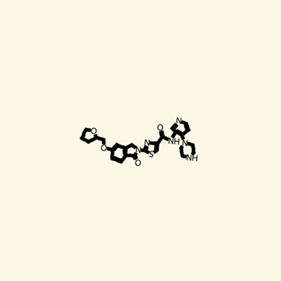 O=C(Nc1cnccc1N1CCNCC1)c1csc(N2Cc3cc(OCC4CCCO4)ccc3C2=O)n1